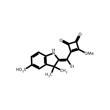 CCC(=C1Nc2ccc(S(=O)(=O)O)cc2C1(C)C)c1c(OC)c(=O)c1=O